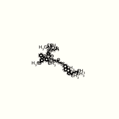 CCC(C)N(C(C)C)P(OCCC#N)O[C@@H]1C[C@@H](COC(c2ccccc2)(c2ccc(OC)cc2)c2ccc(OC)cc2)N(C(=O)CCCCCNC(=O)CCSS[C@H]2CC[C@@]3(C)C(=CCC4C3CC[C@@]3(C)C4CC[C@@H]3[C@H](C)CCCC(C)C)C2)C1